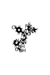 CC(C)(C)[Si](C)(C)O[C@@H](Cn1c(-c2ccc(Cl)cc2)nn(Cc2ncn(-c3ncccc3NC(=O)O)n2)c1=O)C(F)(F)F